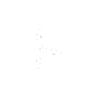 C=Cc1ccc(COP(=O)(OCc2ccc(C=C)cc2)OCc2ccc(C=C)cc2)cc1